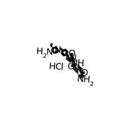 CC[C@H]1CN(Cc2ccc(-n3ccc(NC(=O)N4CCN(C(=O)C(C)(C)N)CC4)nc3=O)cc2)CC[C@H]1N.Cl